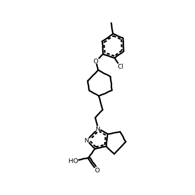 Cc1ccc(Cl)c(OC2CCC(CCn3nc(C(=O)O)c4c3CCC4)CC2)c1